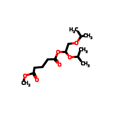 COC(=O)CCCC(=O)OC(COC(C)C)OC(C)C